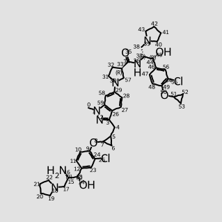 Cn1nc(CC2CC2Oc2ccc([C@@H](O)[C@H](N)CN3CCCC3)cc2Cl)c2ccc(N3CC[C@@H](C(=O)N[C@H](CN4CCCC4)[C@H](O)c4ccc(OC5CC5)c(Cl)c4)C3)cc21